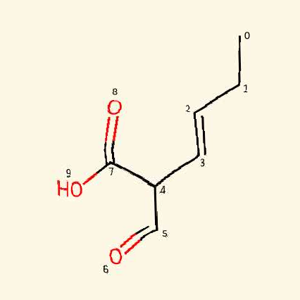 CCC=CC(C=O)C(=O)O